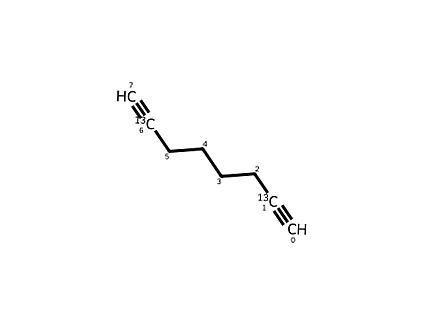 C#[13C]CCCC[13C]#C